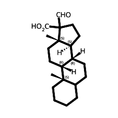 C[C@]12CCCCC1CC[C@@H]1[C@H]2CC[C@@]2(C)[C@H]1CCC2(C=O)C(=O)O